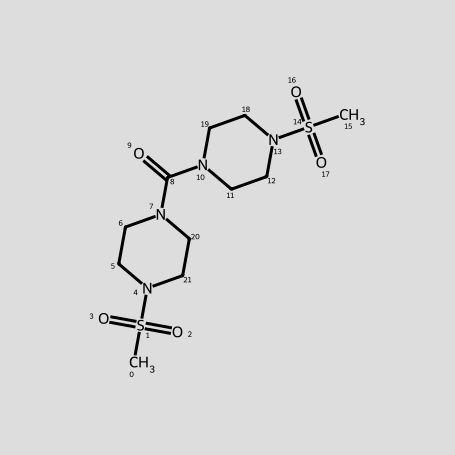 CS(=O)(=O)N1CCN(C(=O)N2CCN(S(C)(=O)=O)CC2)CC1